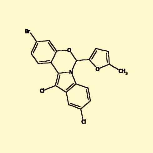 Cc1ccc(C2Oc3cc(Br)ccc3-c3c(Cl)c4cc(Cl)ccc4n32)o1